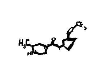 C[C@H]1CN(C(=O)[CH]c2cccc(OC(F)(F)F)c2)CCN1